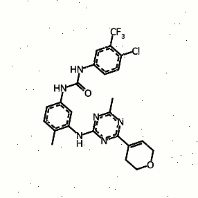 Cc1nc(Nc2cc(NC(=O)Nc3ccc(Cl)c(C(F)(F)F)c3)ccc2C)nc(C2=CCOCC2)n1